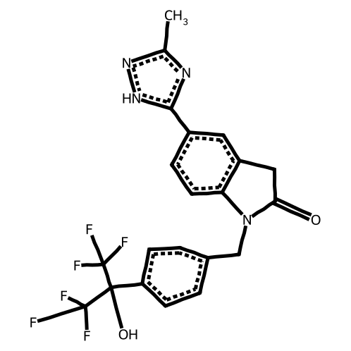 Cc1n[nH]c(-c2ccc3c(c2)CC(=O)N3Cc2ccc(C(O)(C(F)(F)F)C(F)(F)F)cc2)n1